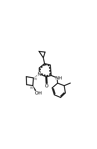 CC1C=CC=CC1Nc1cc(C2CC2)cn([C@H]2CC[C@@H]2O)c1=O